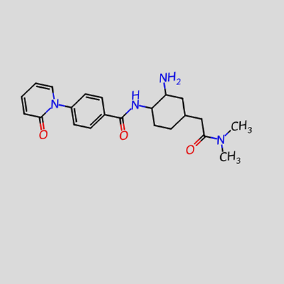 CN(C)C(=O)CC1CCC(NC(=O)c2ccc(-n3ccccc3=O)cc2)C(N)C1